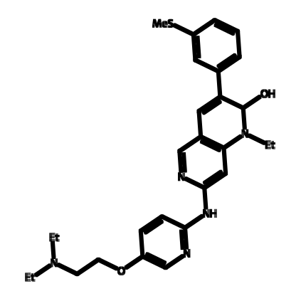 CCN(CC)CCOc1ccc(Nc2cc3c(cn2)C=C(c2cccc(SC)c2)C(O)N3CC)nc1